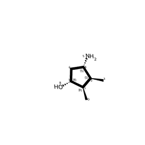 C[C@@H]1[C@H](C)[C@@H](N)C[C@H]1O